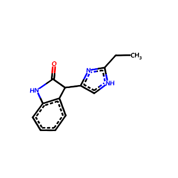 CCc1nc(C2C(=O)Nc3ccccc32)c[nH]1